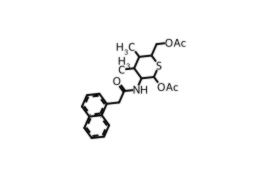 CC(=O)OCC1SC(OC(C)=O)C(NC(=O)Cc2cccc3ccccc23)C(C)C1C